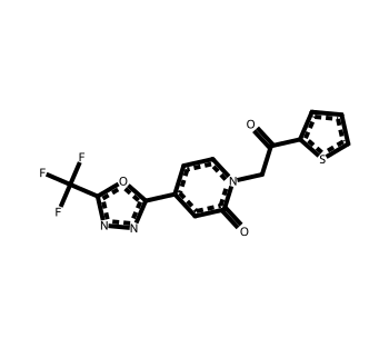 O=C(Cn1ccc(-c2nnc(C(F)(F)F)o2)cc1=O)c1cccs1